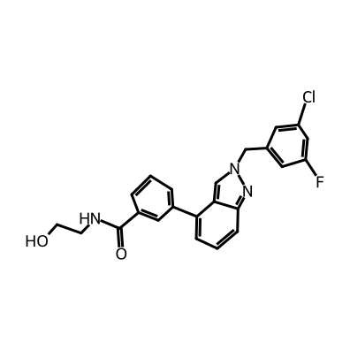 O=C(NCCO)c1cccc(-c2cccc3nn(Cc4cc(F)cc(Cl)c4)cc23)c1